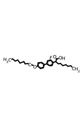 CCCCCCCCCCOc1ccc(-c2ccc(C(CCCCCCC)C(=O)O)c(F)c2)cc1